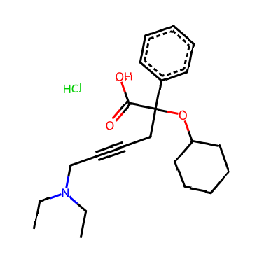 CCN(CC)CC#CCC(OC1CCCCC1)(C(=O)O)c1ccccc1.Cl